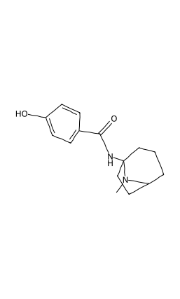 CN1C2CCCC1(NC(=O)c1ccc(O)cc1)CC2